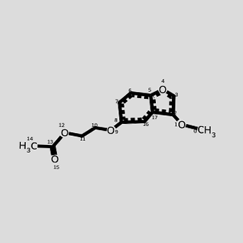 COc1coc2ccc(OCCOC(C)=O)cc12